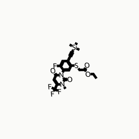 CCOC(=O)CSc1cc(-n2c(=O)cc(C(F)(F)F)n(C)c2=O)c(F)cc1C#C[Si](C)(C)C